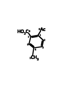 CC(=O)c1ccc(C)cc1C(=O)O